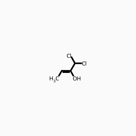 CC=C(O)C(Cl)Cl